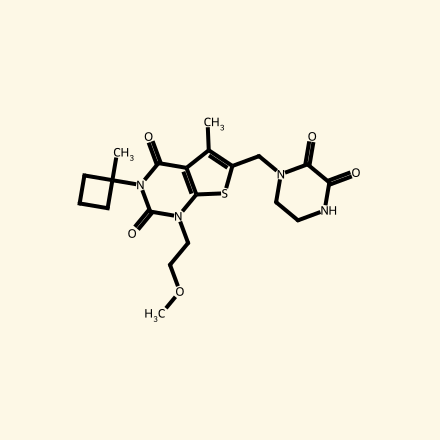 COCCn1c(=O)n(C2(C)CCC2)c(=O)c2c(C)c(CN3CCNC(=O)C3=O)sc21